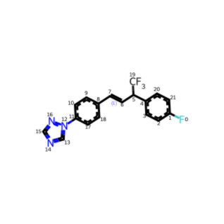 Fc1ccc(C(/C=C/c2ccc(-n3cncn3)cc2)C(F)(F)F)cc1